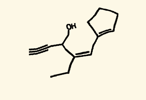 C#CC(O)C(=CC1=CCCC1)CC